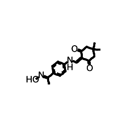 C/C(=N\O)c1ccc(NC=C2C(=O)CC(C)(C)CC2=O)cc1